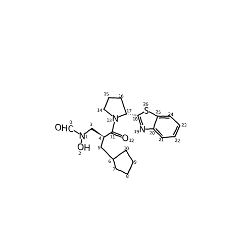 O=CN(O)C[C@H](CC1CCCC1)C(=O)N1CCC[C@@H]1c1nc2ccccc2s1